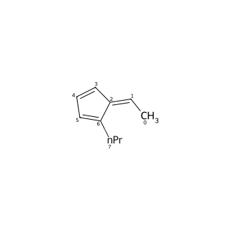 CC=C1C=CC=C1CCC